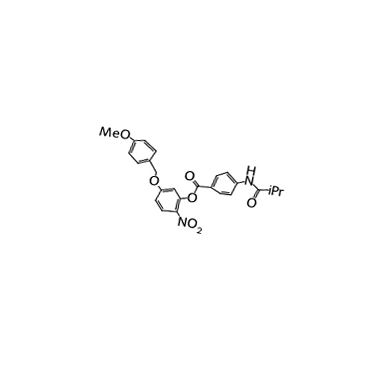 COc1ccc(COc2ccc([N+](=O)[O-])c(OC(=O)c3ccc(NC(=O)C(C)C)cc3)c2)cc1